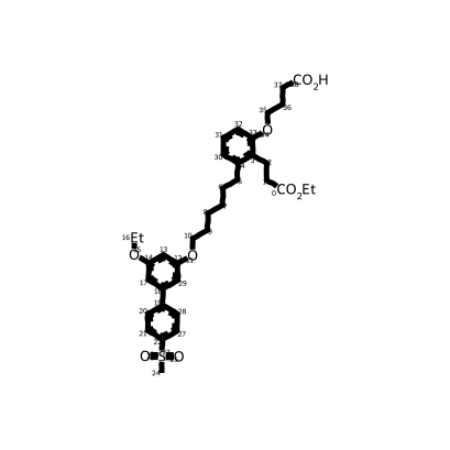 CCOC(=O)CCc1c(CCCCCCOc2cc(OCC)cc(-c3ccc(S(C)(=O)=O)cc3)c2)cccc1OCCCC(=O)O